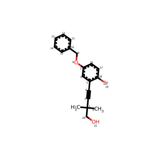 CC(C)(C#Cc1cc(OCc2ccccc2)ccc1Br)CO